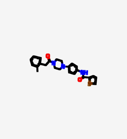 Cc1ccccc1CC(=O)N1CCN(c2ccc(NC(=O)c3cccs3)cc2)CC1